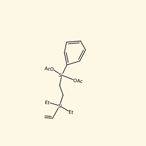 C=C[Si](CC)(CC)CC[Si](OC(C)=O)(OC(C)=O)c1ccccc1